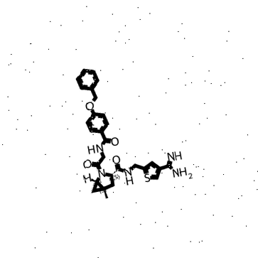 C[C@@]12C[C@@H]1N(C(=O)CNC(=O)c1ccc(OCc3ccccc3)cc1)[C@H](C(=O)NCc1cc(C(=N)N)cs1)C2